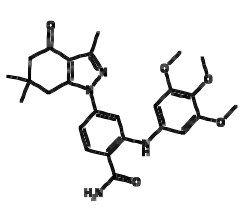 COc1cc(Nc2cc(-n3nc(C)c4c3CC(C)(C)CC4=O)ccc2C(N)=O)cc(OC)c1OC